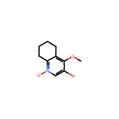 COc1c(Br)c[n+]([O-])c2c1CCCC2